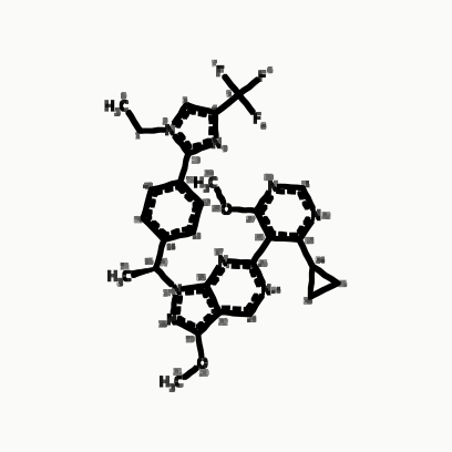 CCn1cc(C(F)(F)F)nc1-c1ccc([C@H](C)n2nc(OC)c3cnc(-c4c(OC)ncnc4C4CC4)nc32)cc1